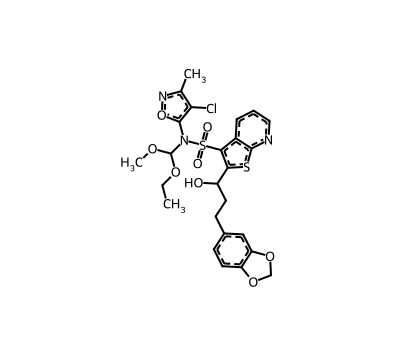 CCOC(OC)N(c1onc(C)c1Cl)S(=O)(=O)c1c(C(O)CCc2ccc3c(c2)OCO3)sc2ncccc12